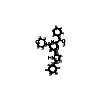 COC(c1ccccc1)c1nc(N2CCOCC2)cc(N2C=CC(c3ccccc3)N2)n1